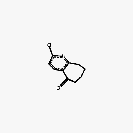 O=C1CCCCc2nc(Cl)ccc21